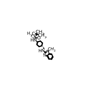 Cn1c(NC[C@H]2CC[C@H](NS(=O)(=O)C(C)(C)C)CC2)nc2ccccc21